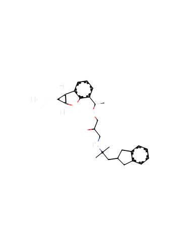 C[C@@H](OCC(O)CNC(C)(C)CC1Cc2ccccc2C1)c1cccc2c1O[C@H]1[C@H](C(=O)O)[C@@H]21